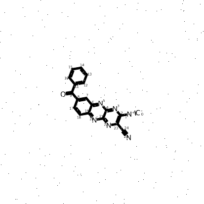 [C-]#[N+]c1nc2nc3cc(C(=O)c4ccccc4)ccc3nc2nc1C#N